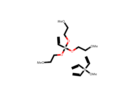 C=C[Si](C=C)(C=C)OC.C=C[Si](OCCOC)(OCCOC)OCCOC